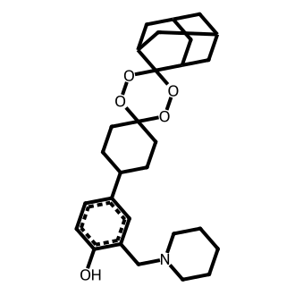 Oc1ccc(C2CCC3(CC2)OOC2(OO3)C3CC4CC(C3)CC2C4)cc1CN1CCCCC1